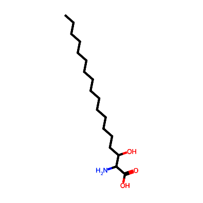 CCCCCCCCCCCCCCCC(O)C(N)C(=O)O